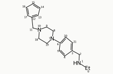 CCNCc1ccc(N2CCN(Cc3ccccc3)CC2)cc1